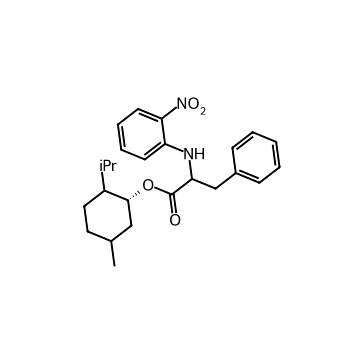 CC1CCC(C(C)C)[C@H](OC(=O)C(Cc2ccccc2)Nc2ccccc2[N+](=O)[O-])C1